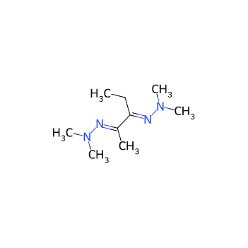 CCC(=N\N(C)C)/C(C)=N/N(C)C